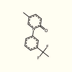 Cc1ccc(=O)n(-c2cccc(C(C)(F)F)c2)c1